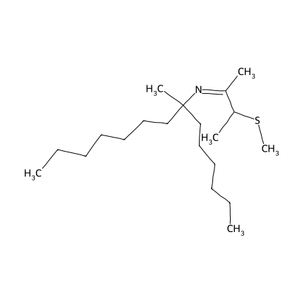 CCCCCCCC(C)(CCCCCC)/N=C(/C)C(C)SC